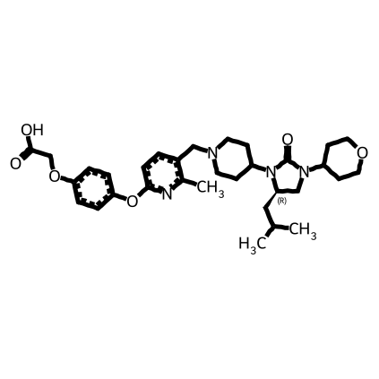 Cc1nc(Oc2ccc(OCC(=O)O)cc2)ccc1CN1CCC(N2C(=O)N(C3CCOCC3)C[C@H]2CC(C)C)CC1